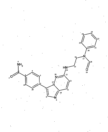 NC(=O)c1ccc(-c2cnc3ccc(NCCN(C=O)c4ccccc4)nn23)cc1